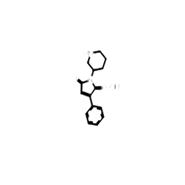 Cl.O=C1C=C(c2ccccc2)C(=O)N1C1CCCNC1